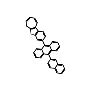 C1=CCc2sc3cc(-c4c5ccccc5c(-c5ccc6ccccc6c5)c5ccccc45)ccc3c2C=C1